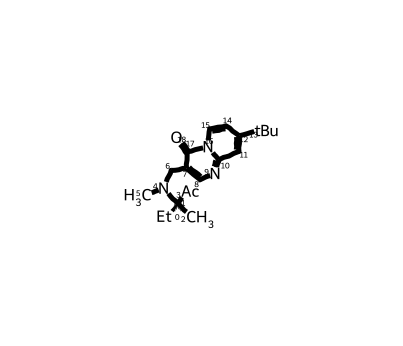 CC[C@](C)(C(C)=O)N(C)Cc1cnc2cc(C(C)(C)C)ccn2c1=O